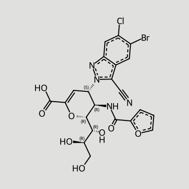 N#Cc1c2cc(Br)c(Cl)cc2nn1[C@H]1C=C(C(=O)O)O[C@@H]([C@H](O)[C@H](O)CO)[C@@H]1NC(=O)c1ccco1